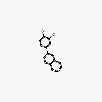 Clc1cc(-c2ccc3ccccc3c2)ccc1Br